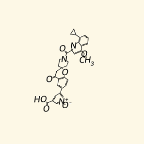 COc1cc(C(=O)N2CCC3(CC2)CC(=O)c2cc(-c4cc(C(=O)O)c[n+]([O-])c4)ccc2O3)nc2c(C3CC3)cccc12